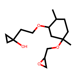 CC1CCC(C)(OCC2CO2)CC1OCCC1(O)CC1